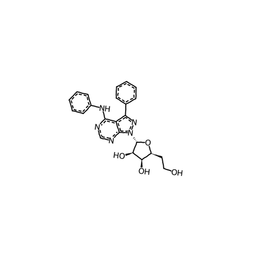 OCC[C@@H]1O[C@@H](n2nc(-c3ccccc3)c3c(Nc4ccccc4)ncnc32)[C@H](O)[C@@H]1O